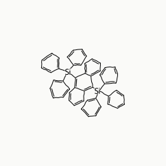 c1ccc([Si](c2ccccc2)(c2ccccc2)c2c3ccccc3c([Si](c3ccccc3)(c3ccccc3)c3ccccc3)c3ccccc23)cc1